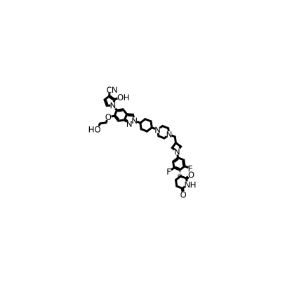 N#Cc1ccn(-c2cc3cn(C4CCC(N5CCN(CC6CN(c7cc(F)c([C@H]8CCC(=O)NC8=O)c(F)c7)C6)CC5)CC4)nc3cc2OCCO)c1O